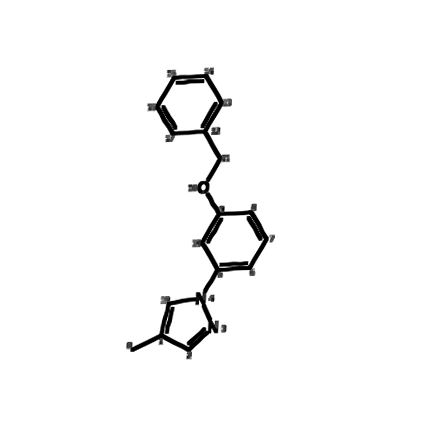 Cc1cnn(-c2cccc(OCc3ccccc3)c2)c1